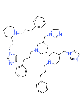 c1ccc(CCCN2CCC(Cn3ccnc3)CC2)cc1.c1ccc(CCCN2CCCC(Cn3ccnc3)C2)cc1.c1ccc(CCCN2CCCCC2CCn2ccnc2)cc1